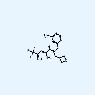 N=C(/C=C(\N)C(=O)N(Cc1ccnc(N)n1)CC1COC1)C(F)(F)F